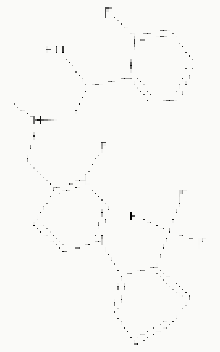 CN(Cc1ccc(-c2ccccc2C(F)(F)F)cc1F)CC(O)c1ccccc1F